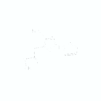 COC(=O)Cc1sc([SH]2C=CC=C2)nc1C